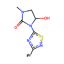 CC(C)c1nsc(N2C(=O)N(C)CC2O)n1